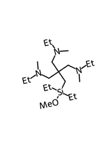 CCN(C)CC(CN(C)CC)(CN(C)CC)C[Si](CC)(CC)OC